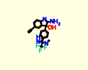 C#Cc1ccc2c(c1)C(O)(c1ccc(C(N)(N=C)C(F)(F)F)cc1)C(N)=N2